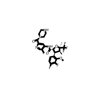 COc1c([C@H]2[C@H](C(=O)Nc3cc(C(=O)N4CCNCC4)ncc3C)O[C@@](C)(C(F)(F)F)[C@H]2C)ccc(F)c1F